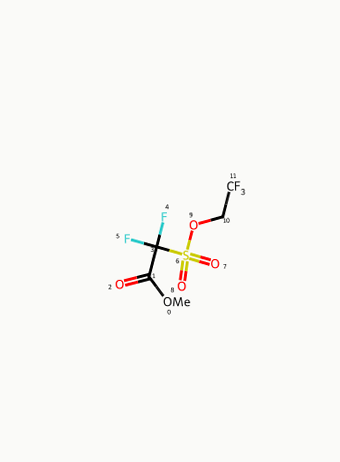 COC(=O)C(F)(F)S(=O)(=O)OCC(F)(F)F